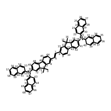 CC1(C)c2cc(/C=C/c3ccc4c(c3)C(C)(C)c3cc(N(c5ccc6ccccc6c5)C5C=c6ccccc6=CC5)ccc3-4)ccc2-c2ccc(N(c3ccc4ccccc4c3)c3ccc4ccccc4c3)cc21